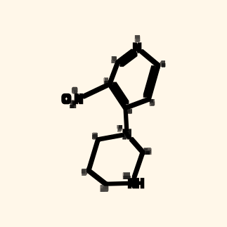 O=[N+]([O-])c1cnccc1N1CCCNC1